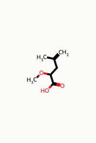 C=C(C)CC(OC)C(=O)O